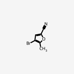 Cc1oc(C#N)cc1Br